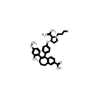 C=C(C)C1[C@@H](Oc2ccc(C3=C(c4ccc(OC)cc4C)CCCc4cc(C(=O)O)ccc43)cc2)CCN1CCCF